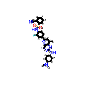 Cc1cc(-c2ccc(NS(=O)(=O)c3ccccc3C#N)c(F)c2)nc2cnc(N[C@H]3CC[C@H](N(C)C)CC3)nc12